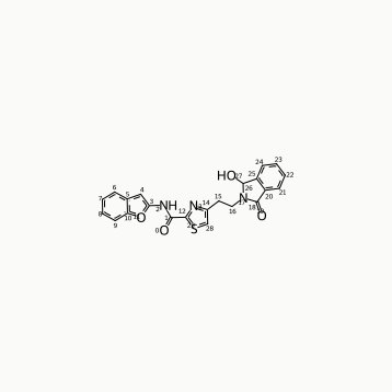 O=C(Nc1cc2ccccc2o1)c1nc(CCN2C(=O)c3ccccc3C2O)cs1